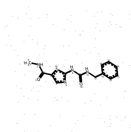 CNC(=O)c1cnc(NC(=O)NCc2ccccc2)s1